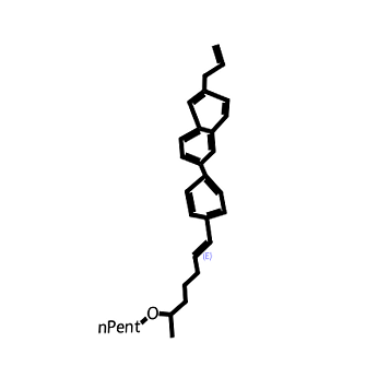 C=CCc1ccc2cc(-c3ccc(/C=C/CCCC(C)OCCCCC)cc3)ccc2c1